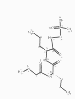 CCC[C@H](NC(=O)CNC)C(=O)N[C@@H](CCC)C(=O)NOP(C)(=O)O